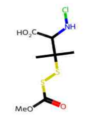 COC(=O)SSC(C)(C)C(NCl)C(=O)O